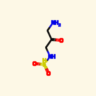 NCC(=O)CN[SH](=O)=O